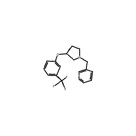 FC(F)(F)c1cccc(OC2CCN(Cc3ccccc3)C2)c1